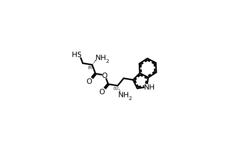 N[C@@H](CS)C(=O)OC(=O)[C@@H](N)Cc1c[nH]c2ccccc12